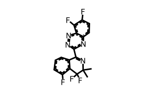 CC1(C)N=C(c2nnc3c(F)c(F)ccc3n2)c2cccc(F)c2C1(F)F